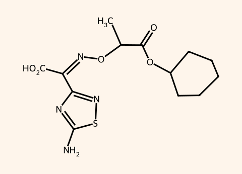 CC(O/N=C(/C(=O)O)c1nsc(N)n1)C(=O)OC1CCCCC1